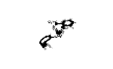 O=[N+]([O-])c1nc(Nc2ccccc2)nc2ccccc12